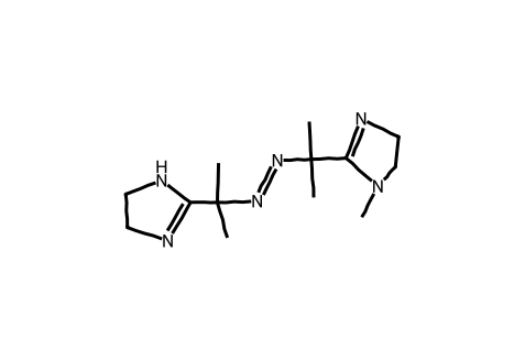 CN1CCN=C1C(C)(C)N=NC(C)(C)C1=NCCN1